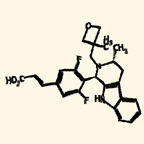 C[C@@H]1Cc2c([nH]c3ccccc23)[C@@H](c2c(F)cc(/C=C/C(=O)O)cc2F)N1CC1(C)COC1